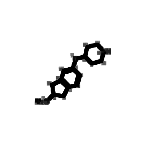 COC1Cc2ccc(OC3CCNCC3)cc2C1